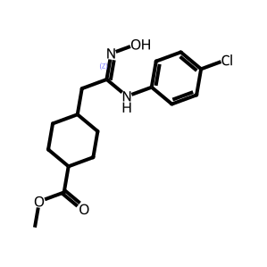 COC(=O)C1CCC(C/C(=N/O)Nc2ccc(Cl)cc2)CC1